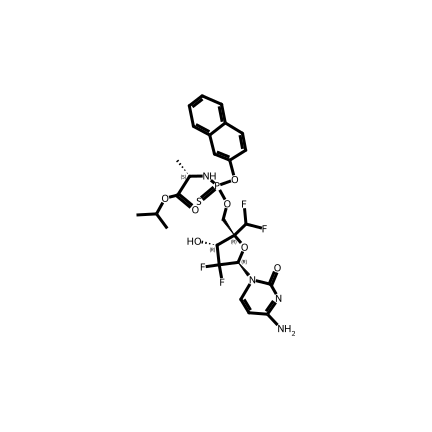 CC(C)OC(=O)[C@H](C)NP(=S)(OC[C@@]1(C(F)F)O[C@@H](n2ccc(N)nc2=O)C(F)(F)[C@@H]1O)Oc1ccc2ccccc2c1